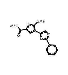 COC(=O)c1cc(-c2csc(-c3ccccc3)n2)c(SC)s1